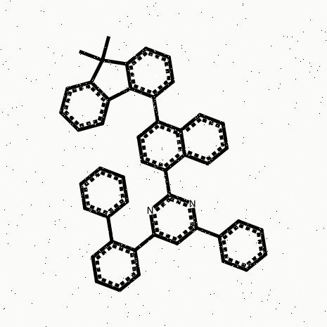 CC1(C)c2ccccc2-c2c(-c3ccc(-c4nc(-c5ccccc5)cc(-c5ccccc5-c5ccccc5)n4)c4ccccc34)cccc21